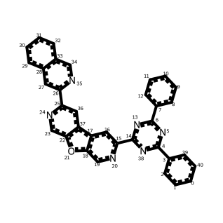 c1ccc(-c2nc(-c3ccccc3)nc(-c3cc4c(cn3)oc3cnc(-c5cc6ccccc6cn5)cc34)n2)cc1